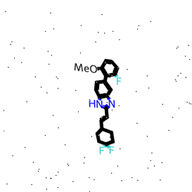 COc1cccc(F)c1-c1ccc2[nH]c(C=CC3CCC(F)(F)CC3)nc2c1